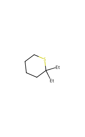 CCC1(CC)CCCCS1